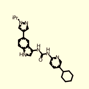 CC(C)n1cc(-c2ccc3[nH]cc(NC(=O)Nc4ccc(C5CCCCC5)cn4)c3c2)cn1